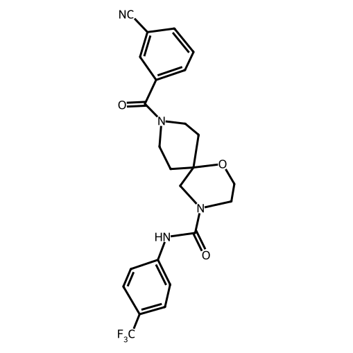 N#Cc1cccc(C(=O)N2CCC3(CC2)CN(C(=O)Nc2ccc(C(F)(F)F)cc2)CCO3)c1